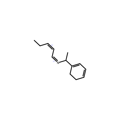 CC/C=C\C=N/C(C)C1=CC=CCC1